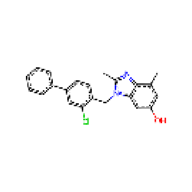 Cc1cc(O)cc2c1nc(C)n2Cc1ccc(-c2ccccc2)cc1Cl